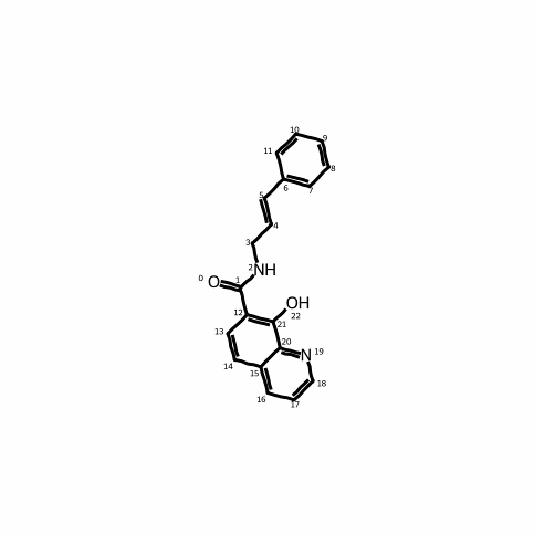 O=C(NCC=Cc1ccccc1)c1ccc2cccnc2c1O